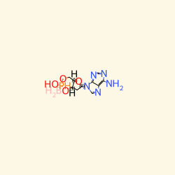 B[PH]1(O)OC[C@H]2O[C@@H](n3cnc4c(N)ncnc43)C[C@@H]2O1